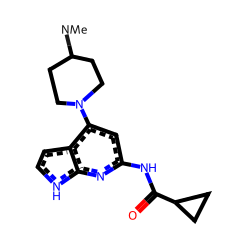 CNC1CCN(c2cc(NC(=O)C3CC3)nc3[nH]ccc23)CC1